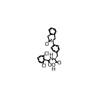 O=C(N[C@@H](Cc1ccc(N2Cc3ccccc3CC2=O)cc1)C(=O)O)c1c(Cl)cccc1Cl